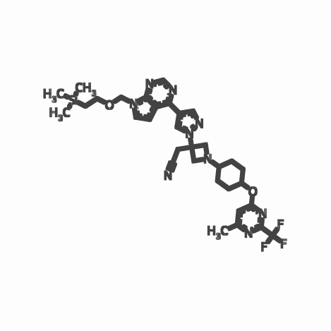 Cc1cc(OC2CCC(N3CC(CC#N)(n4cc(-c5ncnc6c5ccn6COCC[Si](C)(C)C)cn4)C3)CC2)nc(C(F)(F)F)n1